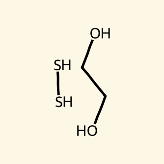 OCCO.SS